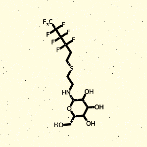 OCC1OC(NCCSCCC(F)(F)C(F)(F)C(F)(F)C(F)(F)F)C(O)C(O)C1O